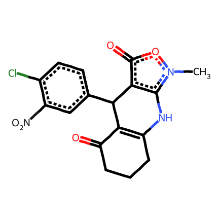 Cn1oc(=O)c2c1NC1=C(C(=O)CCC1)C2c1ccc(Cl)c([N+](=O)[O-])c1